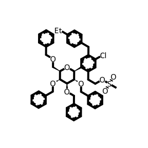 CCc1ccc(Cc2cc([C@@H]3O[C@H](COCc4ccccc4)[C@@H](OCc4ccccc4)[C@H](OCc4ccccc4)[C@H]3OCc3ccccc3)c(CCOS(C)(=O)=O)cc2Cl)cc1